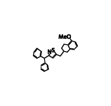 COc1cccc2c1CCC(Cc1cc(C(c3ccccc3)c3ccccc3)ns1)C2